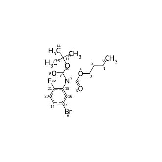 CCCCOC(=O)N(C(=O)OC(C)(C)C)c1cc(Br)ccc1F